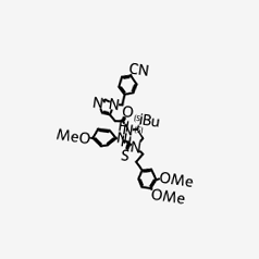 CC[C@H](C)[C@@H](CN(CCc1ccc(OC)c(OC)c1)C(=S)Nc1ccc(OC)cc1)NC(=O)Cc1cncn1Cc1ccc(C#N)cc1